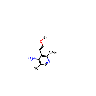 CCO/C=C/c1c(OC)ncc(C#N)c1N